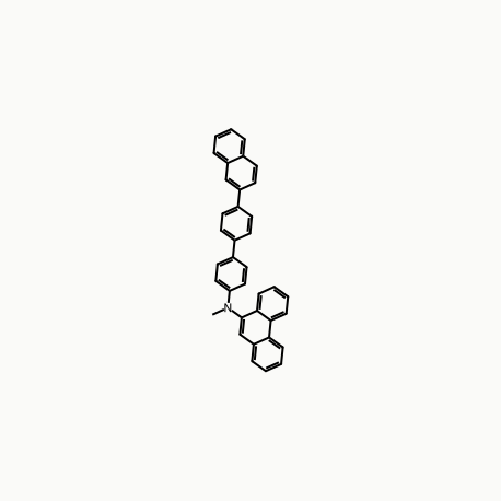 CN(c1ccc(-c2ccc(-c3ccc4ccccc4c3)cc2)cc1)c1cc2ccccc2c2ccccc12